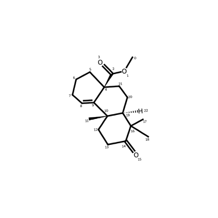 COC(=O)[C@]12CCCC=C1[C@@]1(C)CCC(=O)C(C)(C)[C@@H]1CC2